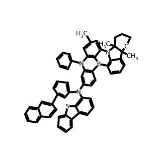 Cc1cc2c3c(c1)N1c4c(cccc4C4(C)CCCCC14C)B3c1ccc(N(c3cccc(-c4ccc5ccccc5c4)c3)c3cccc4c3sc3ccccc34)cc1N2c1ccccc1